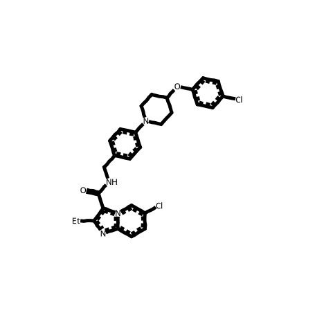 CCc1nc2ccc(Cl)cn2c1C(=O)NCc1ccc(N2CCC(Oc3ccc(Cl)cc3)CC2)cc1